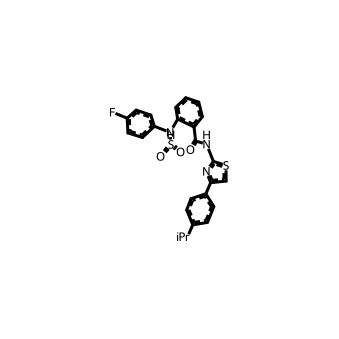 CC(C)c1ccc(-c2csc(NC(=O)c3ccccc3N(c3ccc(F)cc3)[SH](=O)=O)n2)cc1